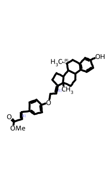 COC(=O)/C=C/c1ccc(OC/C=C2\CCC3C4C(CCC23C)c2ccc(O)cc2C[C@H]4C)cc1